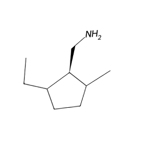 CCC1CCC(C)[C@@H]1CN